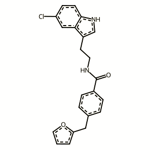 O=C(NCCc1c[nH]c2ccc(Cl)cc12)c1ccc(Cc2ccco2)cc1